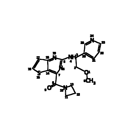 COCC(Nc1nc(C(=O)N2CCC2)c2sccc2n1)c1cccnc1